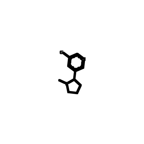 CN1CCCC1c1cncc(Cl)c1